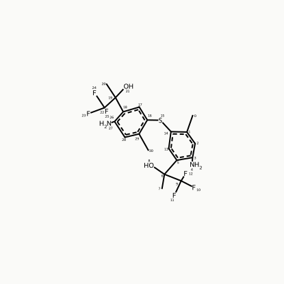 Cc1cc(N)c(C(C)(O)C(F)(F)F)cc1Sc1cc(C(C)(O)C(F)(F)F)c(N)cc1C